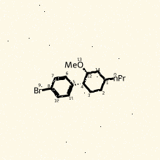 CCCC1CC[C@H](c2ccc(Br)cc2)[C@@H](OC)C1